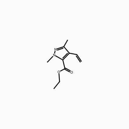 C=Cc1c(C)nn(C)c1C(=O)OCC